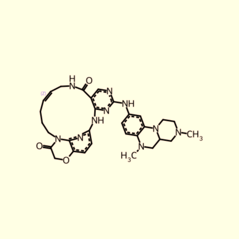 CN1CCN2c3cc(Nc4ncc5c(n4)Nc4ccc6c(n4)N(CCC/C=C\CNC5=O)C(=O)CO6)ccc3N(C)CC2C1